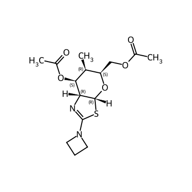 CC(=O)OC[C@H]1O[C@@H]2SC(N3CCC3)=N[C@@H]2[C@@H](OC(C)=O)[C@H]1C